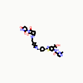 Cc1nccc(C(=O)Nc2cc3sc([C@H]4CC[C@H](CN5CC6(CC(CCNc7cccc8c7C(=O)N(C7CCC(=O)NC7=O)C8=O)C6)C5)CC4)nc3cc2C(C)(C)O)n1